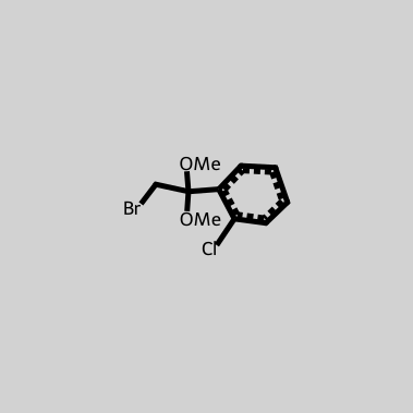 COC(CBr)(OC)c1ccccc1Cl